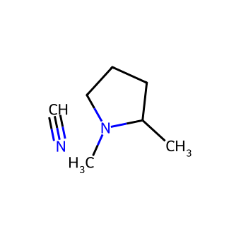 C#N.CC1CCCN1C